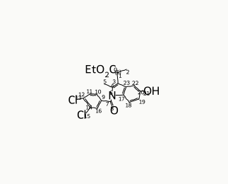 CCOC(=O)[C@@H](C)c1c(C)n(C(=O)c2ccc(Cl)c(Cl)c2)c2ccc(O)cc12